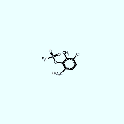 Cc1c(Cl)ccc(C(=O)O)c1OS(=O)(=O)C(F)(F)F